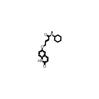 CN(C(=O)C=CCOc1ccc2[nH]c(=O)ccc2c1)C1CCCCC1